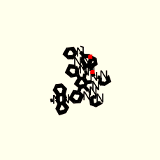 CN1c2ccccc2N(c2cccc(-c3cc(-c4cccc(N5c6ccccc6N(C)c6ccccc65)c4)c(-c4nc5cccnc5n4C)c(-c4nc5cccnc5n4C)c3-c3nc4cccnc4n3C)c2)c2ccccc21